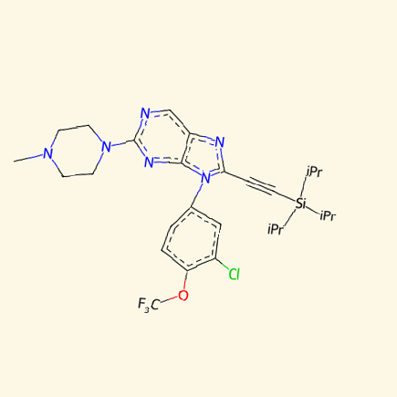 CC(C)[Si](C#Cc1nc2cnc(N3CCN(C)CC3)nc2n1-c1ccc(OC(F)(F)F)c(Cl)c1)(C(C)C)C(C)C